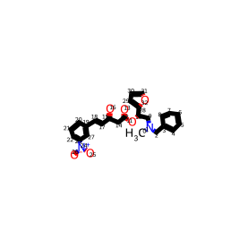 CN(Cc1ccccc1)CC(OC(=O)CC(=O)C=Cc1cccc([N+](=O)[O-])c1)c1ccco1